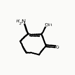 NC1=C(O)C(=O)CCC1